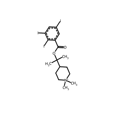 CC(C)(OC(=O)c1cc(I)cc(I)c1I)C1CC[N+](C)(C)CC1